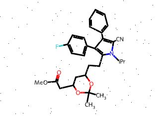 COC(=O)CC1CC(CCc2c(-c3ccc(F)cc3)c(-c3ccccc3)c(C#N)n2C(C)C)OC(C)(C)O1